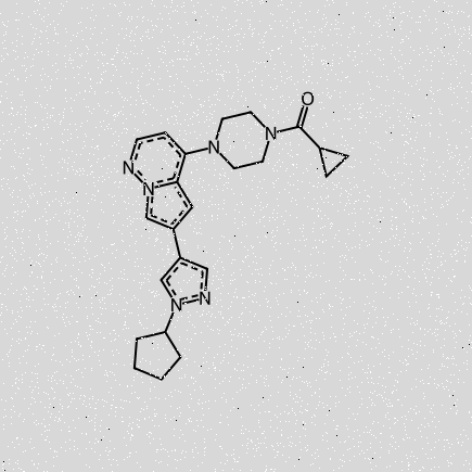 O=C(C1CC1)N1CCN(c2ccnn3cc(-c4cnn(C5CCCC5)c4)cc23)CC1